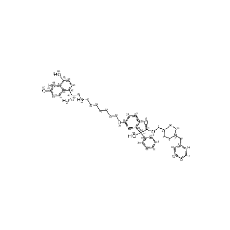 O=C(OCC1CCN(Cc2ccccc2)CC1)[C@](O)(c1ccccc1)c1cccc(OCCCCCCCNC[C@H](P)c2ccc(O)c3[nH]c(=O)ccc23)c1